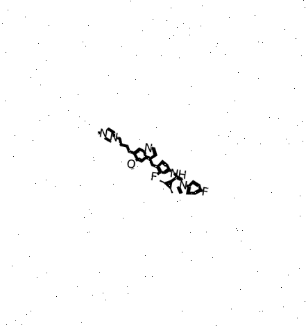 C=CN(/C=C(/Nc1ccc(Cc2ccnc3cc(CCCCN4CCN(C)CC4)c(OC)cc23)c(F)c1)C1[C@@H](C)[C@H]1C)c1ccc(F)cc1